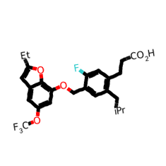 CCc1cc2cc(OC(F)(F)F)cc(OCc3cc(CC(C)C)c(CCC(=O)O)cc3F)c2o1